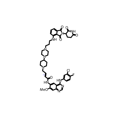 COc1cc2ncnc(Nc3ccc(F)c(Cl)c3)c2cc1NC(=O)/C=C/CN1CCC(N2CCN(CCCNc3cccc4c3C(=O)N(C3CCC(=O)NC3=O)C4=O)CC2)CC1